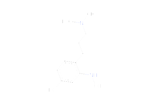 CNc1cc(C)ccc1CCCN(C)C